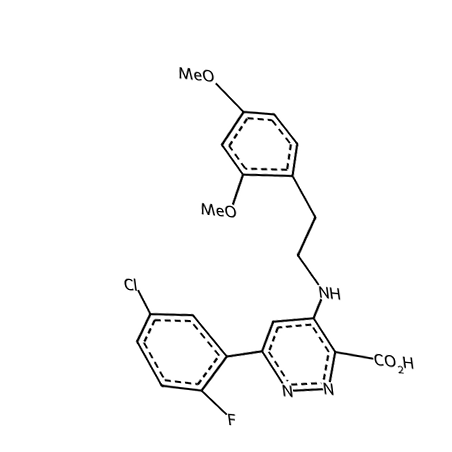 COc1ccc(CCNc2cc(-c3cc(Cl)ccc3F)nnc2C(=O)O)c(OC)c1